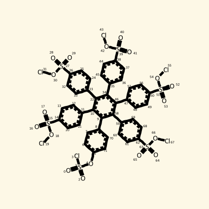 O=S(=O)(Cl)Oc1ccc(-c2c(-c3ccc(S(=O)(=O)OCl)cc3)c(-c3ccc(S(=O)(=O)OCl)cc3)c(-c3ccc(S(=O)(=O)OCl)cc3)c(-c3ccc(S(=O)(=O)OCl)cc3)c2-c2ccc(S(=O)(=O)OCl)cc2)cc1